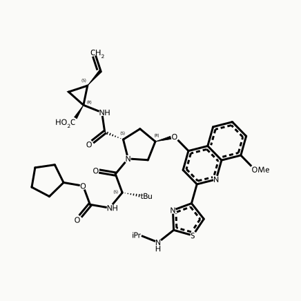 C=C[C@@H]1C[C@]1(NC(=O)[C@@H]1C[C@@H](Oc2cc(-c3csc(NC(C)C)n3)nc3c(OC)cccc23)CN1C(=O)[C@@H](NC(=O)OC1CCCC1)C(C)(C)C)C(=O)O